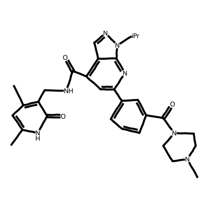 Cc1cc(C)c(CNC(=O)c2cc(-c3cccc(C(=O)N4CCN(C)CC4)c3)nc3c2cnn3C(C)C)c(=O)[nH]1